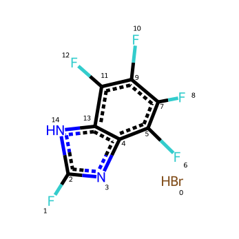 Br.Fc1nc2c(F)c(F)c(F)c(F)c2[nH]1